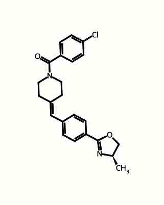 C[C@@H]1COC(c2ccc(C=C3CCN(C(=O)c4ccc(Cl)cc4)CC3)cc2)=N1